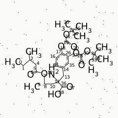 CCC(C)CC(=O)O[C@@H](C)CC(N)(Cc1ccc(OC(=O)OC(C)(C)C)c(OC(=O)OC(C)(C)C)c1)C(=O)O